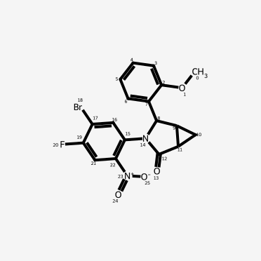 COc1ccccc1C1C2CC2C(=O)N1c1cc(Br)c(F)cc1[N+](=O)[O-]